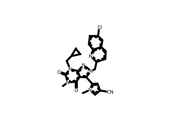 Cn1cc(C#N)cc1-c1c2c(=O)n(C)c(=O)n(CC3CC3)c2nn1Cc1ccc2cc(Cl)ccc2n1